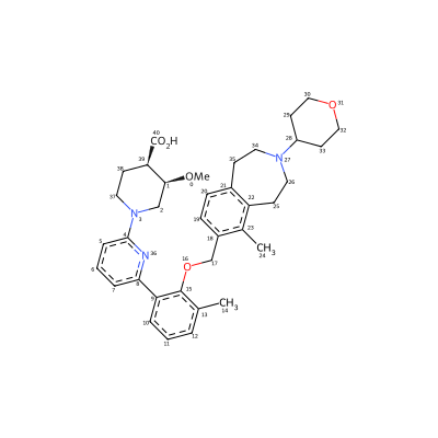 CO[C@H]1CN(c2cccc(-c3cccc(C)c3OCc3ccc4c(c3C)CCN(C3CCOCC3)CC4)n2)CC[C@H]1C(=O)O